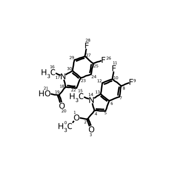 COC(=O)c1cc2cc(F)c(F)cc2n1C.Cn1c(C(=O)O)cc2cc(F)c(F)cc21